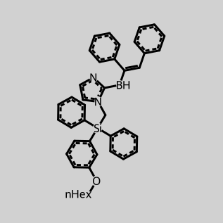 CCCCCCOc1cccc([Si](Cn2ccnc2BC(=Cc2ccccc2)c2ccccc2)(c2ccccc2)c2ccccc2)c1